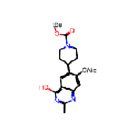 COc1cc2nc(C)nc(O)c2cc1C1CCN(C(=O)OC(C)(C)C)CC1